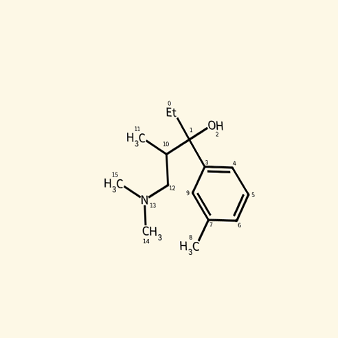 CCC(O)(c1cccc(C)c1)C(C)CN(C)C